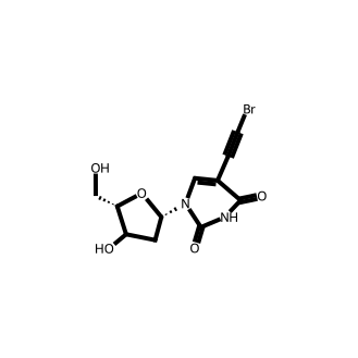 O=c1[nH]c(=O)n([C@@H]2CC(O)[C@H](CO)O2)cc1C#CBr